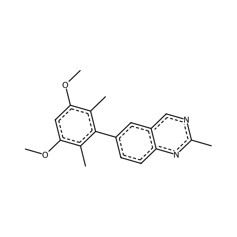 COc1cc(OC)c(C)c(-c2ccc3nc(C)ncc3c2)c1C